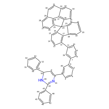 C1=C(c2cccc(-c3cccc(-c4cccc5c4-c4ccccc4C54c5cccc6ccc7cccc4c7c56)c3)c2)N=C(c2ccccc2)NC1c1ccccc1